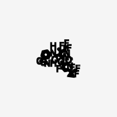 COc1nc(C2(C(F)(F)F)CC2)cc(F)c1Oc1nnc(C(F)(F)F)c(C)c1C(=O)Nc1cccc(S(C)(=N)=O)c1